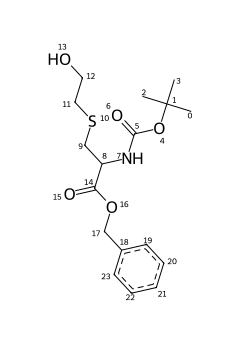 CC(C)(C)OC(=O)NC(CSCCO)C(=O)OCc1ccccc1